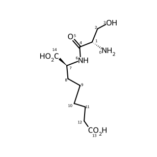 N[C@@H](CO)C(=O)N[C@@H](CCCCCC(=O)O)C(=O)O